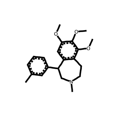 COc1cc2c(c(OC)c1OC)CCN(C)CC2c1cccc(C)c1